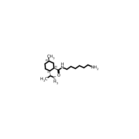 CC(C)[C@@H]1CC[C@@H](C)C[C@H]1C(=O)NCCCCCCN